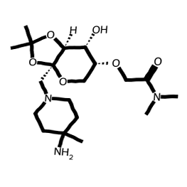 CN(C)C(=O)CO[C@@H]1CO[C@@]2(CN3CCC(C)(N)CC3)OC(C)(C)O[C@H]2[C@@H]1O